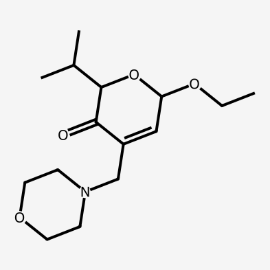 CCOC1C=C(CN2CCOCC2)C(=O)C(C(C)C)O1